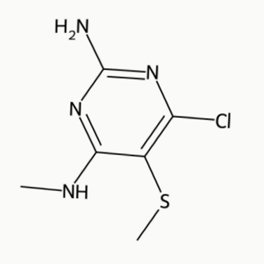 CNc1nc(N)nc(Cl)c1SC